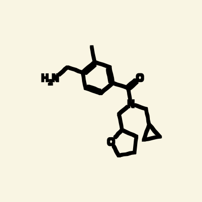 Cc1cc(C(=O)N(CC2CC2)CC2CCCO2)ccc1CN